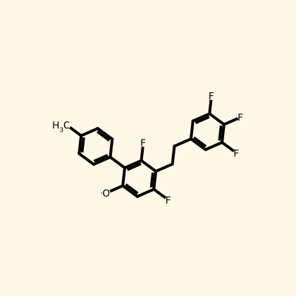 Cc1ccc(-c2c([O])cc(F)c(CCc3cc(F)c(F)c(F)c3)c2F)cc1